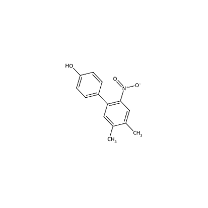 Cc1cc(-c2ccc(O)cc2)c([N+](=O)[O-])cc1C